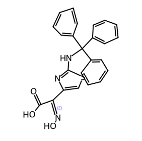 O=C(O)/C(=N\O)c1csc(NC(c2ccccc2)(c2ccccc2)c2ccccc2)n1